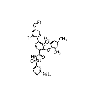 CCOc1ccc(-c2ccc(C(=O)NS(=O)(=O)c3cccc(N)n3)c(Oc3c(C)cc(C)cc3C)n2)c(F)c1